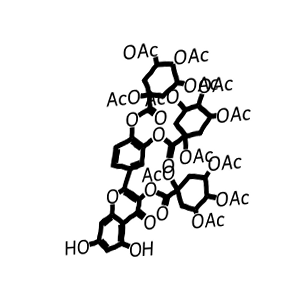 CC(=O)OC1CC(OC(C)=O)(C(=O)Oc2ccc(-c3oc4cc(O)cc(O)c4c(=O)c3OC(=O)C3(OC(C)=O)CC(OC(C)=O)C(OC(C)=O)C(OC(C)=O)C3)cc2OC(=O)C2(OC(C)=O)CC(OC(C)=O)C(OC(C)=O)C(OC(C)=O)C2)CC(OC(C)=O)C1OC(C)=O